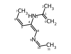 C=C(C)NC(/C=C\C)=C/N=C\C